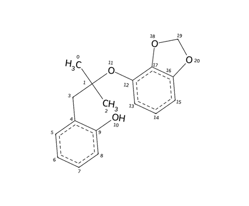 CC(C)(Cc1ccccc1O)Oc1cccc2c1OCO2